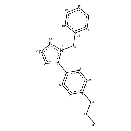 CCCc1ccc(-c2cnnn2Cc2ccccc2)cc1